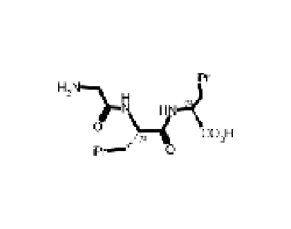 CC(C)C[C@H](NC(=O)[C@H](CC(C)C)NC(=O)CN)C(=O)O